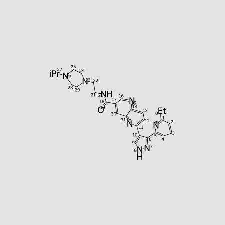 CCc1cccc(-c2n[nH]cc2-c2ccc3ncc(C(=O)NCCN4CCN(C(C)C)CC4)cc3n2)n1